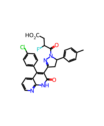 Cc1ccc(C2CC(c3c(-c4ccc(Cl)cc4)c4cccnc4[nH]c3=O)=NN2C(=O)C(F)CC(=O)O)cc1